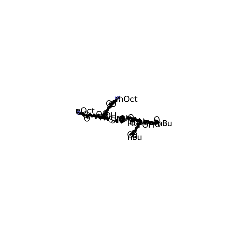 CCCCCCCC/C=C\CCOC(=O)CCCCC(O)CN(CCCSSCCN1CCN(CCOC(=O)CCCN(CC(O)CCCCC(=O)OCCCC)CC(O)CCCCC(=O)OCCCC)CC1)CC(O)CCCCC(=O)OCC/C=C\CCCCCCCC